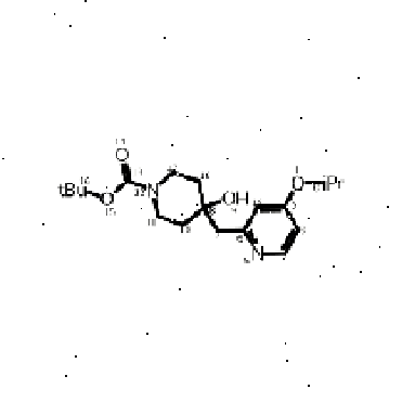 CC(C)Oc1ccnc(CC2(O)CCN(C(=O)OC(C)(C)C)CC2)c1